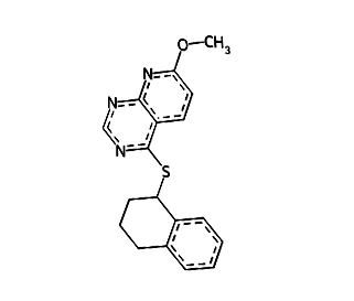 COc1ccc2c(SC3CCCc4ccccc43)ncnc2n1